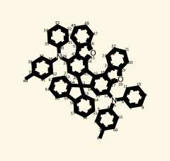 Cc1ccc(N(c2ccccc2)c2cc3c(c4c2oc2ccccc24)-c2c(cc(N(c4ccccc4)c4ccc(C)cc4)c4c2oc2ccccc24)C32c3ccccc3-c3ccccc32)cc1